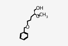 CO[C@H](CO)CCCOCc1ccccc1